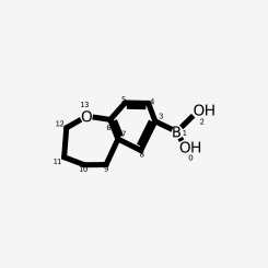 OB(O)c1ccc2c(c1)CCCCO2